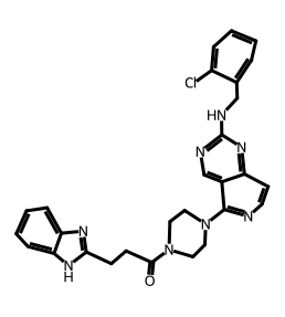 O=C(CCc1nc2ccccc2[nH]1)N1CCN(c2nccc3nc(NCc4ccccc4Cl)ncc23)CC1